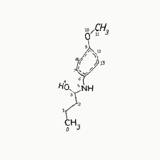 CCCC(O)Nc1ccc(OC)cc1